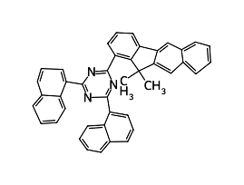 CC1(C)c2cc3ccccc3cc2-c2cccc(-c3nc(-c4cccc5ccccc45)nc(-c4cccc5ccccc45)n3)c21